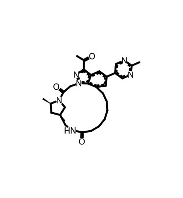 CC(=O)c1nn2c3c(cc(-c4cnc(C)nc4)cc13)CCCCCCC(=O)NC[C@]1(C)C[C@@H](C)N(C1)C(=O)C2